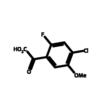 COc1cc(C(=O)C(=O)O)c(F)cc1Cl